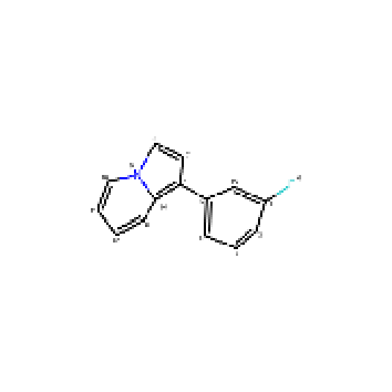 Fc1cccc(-c2ccn3ccccc23)c1